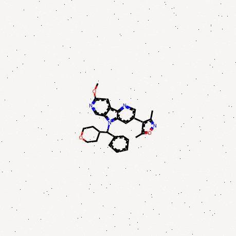 COc1cc2c3ncc(-c4c(C)noc4C)cc3n(C(c3ccccc3)C3CCOCC3)c2cn1